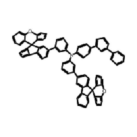 c1ccc(-c2cccc(-c3ccc(N(c4cccc(-c5ccc6c(c5)-c5ccccc5C65c6ccccc6Oc6ccccc65)c4)c4cccc(-c5ccc6c(c5)C5(c7ccccc7Oc7ccccc75)c5ccccc5-6)c4)cc3)c2)cc1